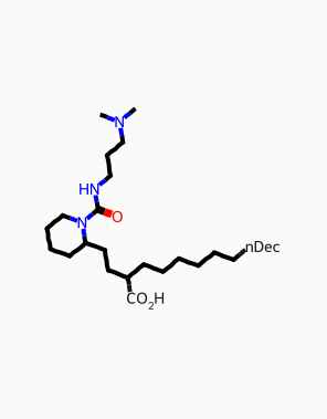 CCCCCCCCCCCCCCCCC(CCC1CCCCN1C(=O)NCCCN(C)C)C(=O)O